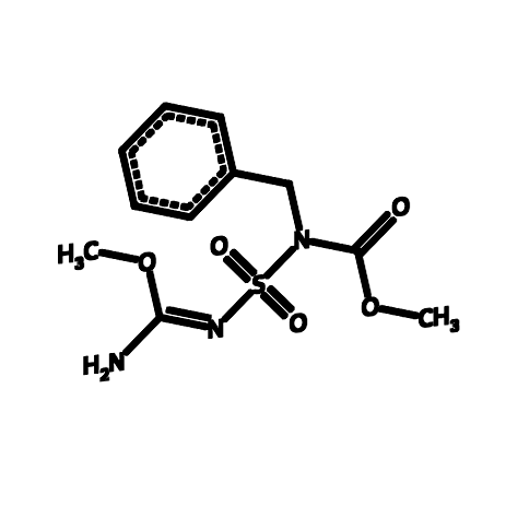 COC(=O)N(Cc1ccccc1)S(=O)(=O)N=C(N)OC